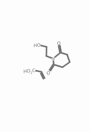 C=CC(=O)O.O=C1CCCC(=O)N1CCO